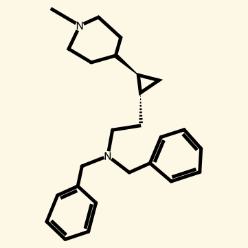 CN1CCC([C@H]2C[C@@H]2CCN(Cc2ccccc2)Cc2ccccc2)CC1